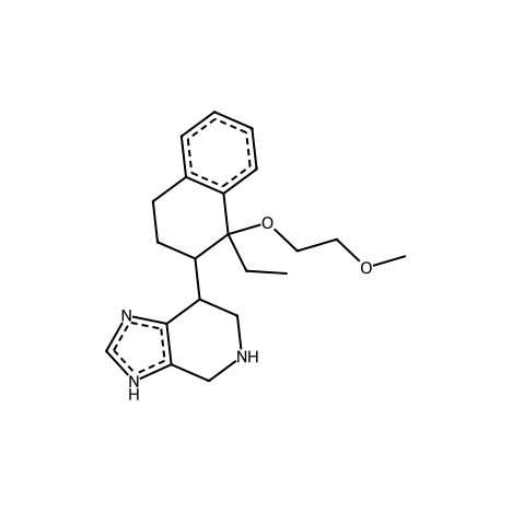 CCC1(OCCOC)c2ccccc2CCC1C1CNCc2[nH]cnc21